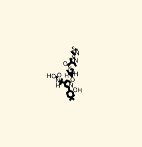 Cc1nn(-c2cscn2)cc1C(=O)N1C[C@@H]2C(Oc3cc(C(C)(C)NC(=O)O)cc(C4CCC(C)(C)CC4O)n3)[C@@H]2C1